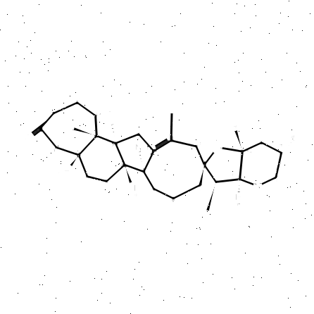 C/C1=C2\C[C@H]3[C@@H](CC[C@@H]4CC(=O)CCC[C@@]43C)[C@]2(N)CCC[C@@]2(C1)O[C@]1(C)C[C@H](C)CN[C@H]1[C@H]2C